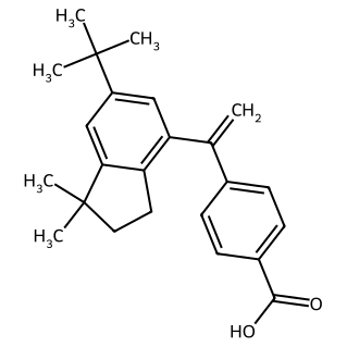 C=C(c1ccc(C(=O)O)cc1)c1cc(C(C)(C)C)cc2c1CCC2(C)C